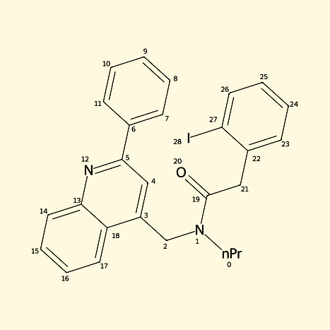 CCCN(Cc1cc(-c2ccccc2)nc2ccccc12)C(=O)Cc1ccccc1I